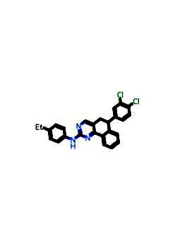 CCc1ccc(Nc2ncc3c(n2)-c2ccccc2C(c2ccc(Cl)c(Cl)c2)C3)cc1